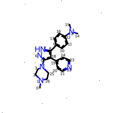 CN1CCN(c2n[nH]c(-c3ccc(N(C)C)cc3)c2-c2ccncc2)CC1